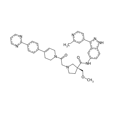 COC[C@@]1(C(=O)Nc2ccc3[nH]nc(-c4ccnc(C)c4)c3c2)CCN(CC(=O)N2CC=C(c3ccc(-c4ncccn4)cc3)CC2)C1